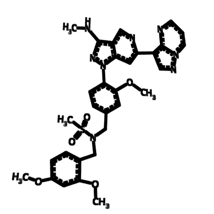 CNc1nn(-c2ccc(CN(Cc3ccc(OC)cc3OC)S(C)(=O)=O)cc2OC)c2cc(-c3cnn4cccnc34)ncc12